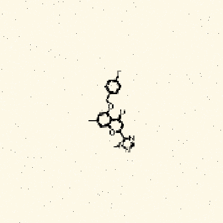 Cc1cc(OCc2ccc(F)cc2)c2c(=O)cc(-c3ncnn3C)oc2c1